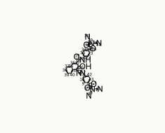 N#CN(C#N)S(=O)(=O)c1ccc(N=Nc2c(O)c(C(=O)Nc3ccc(S(=O)(=O)N(C#N)C#N)cc3)cc3ccccc23)cc1